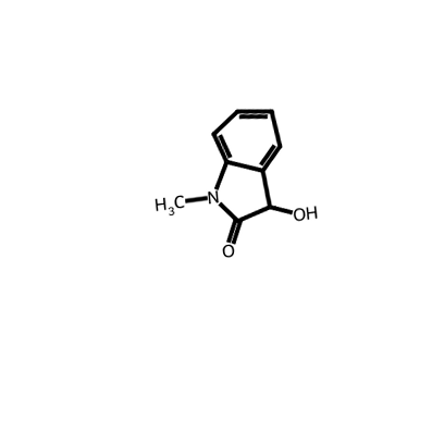 CN1C(=O)[C](O)c2ccccc21